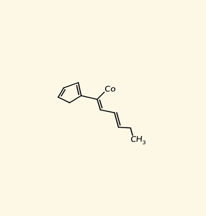 CCC=CC=[C]([Co])C1=CC=CC1